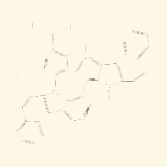 Cc1cc(-n2c3ccc4ccccc4c3c3cccc(-c4cccc5c6c7ccccc7ccc6n(C(C)C)c45)c32)c(C)cc1C(C)C